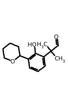 CC(C)(C=O)c1cccc(C2CCCCO2)c1O